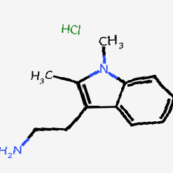 Cc1c(CCN)c2ccccc2n1C.Cl